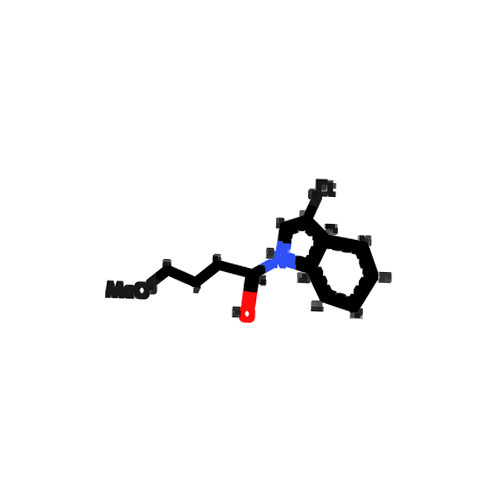 CCc1cn(C(=O)CCCOC)c2ccccc12